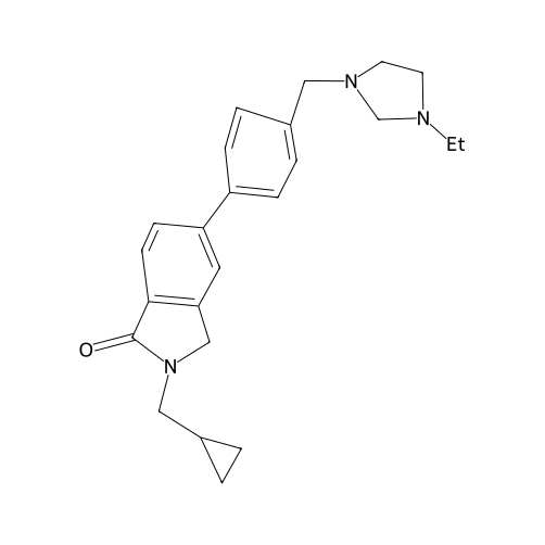 CCN1CCN(Cc2ccc(-c3ccc4c(c3)CN(CC3CC3)C4=O)cc2)C1